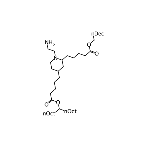 CCCCCCCCCCCOC(=O)CCCCC1CC(CCCCC(=O)OC(CCCCCCCC)CCCCCCCC)CCN1CCN